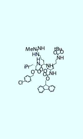 CNC(=N)NCCC[C@@H](NC(=O)[C@@H](CCCCNC(=O)OC(C)(C)C)NC(=O)OCC1c2ccccc2-c2ccccc21)C(=O)N[C@@H](CC(C)C)C(=O)OCc1ccc(Cl)cc1